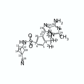 [2H]C([2H])([2H])c1ccc(S(=O)(=O)NC23CCC(C#N)(C2)C3)cc1-c1cnc2c(N)nc(C)nn12